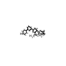 CN(C)c1nc(-c2cccc(C3CCNCC3)c2)ccc1N(C)CC1CC1(F)F